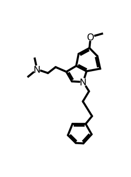 COc1ccc2c(c1)c(CCN(C)C)cn2CCCc1ccccc1